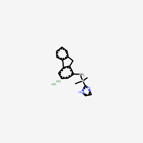 Cl.Cl.[CH3][Zr]([CH3])([SiH2]c1cccc2c1Cc1ccccc1-2)[c]1ncc[nH]1